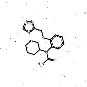 NC(=O)N(c1ccccc1SCc1ncon1)C1CCCCC1